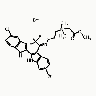 COC(=O)C[N+](C)(C)CCON=C(c1c(-c2cc3cc(Cl)ccc3[nH]2)[nH]c2cc(Br)ccc12)C(F)(F)F.[Br-]